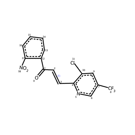 O=C(/C=C/c1ncc(C(F)(F)F)cc1Cl)c1ccccc1[N+](=O)[O-]